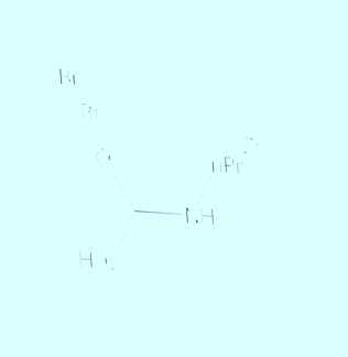 CCCNC(C)[O-].[Br-].[Br-].[Zr+3]